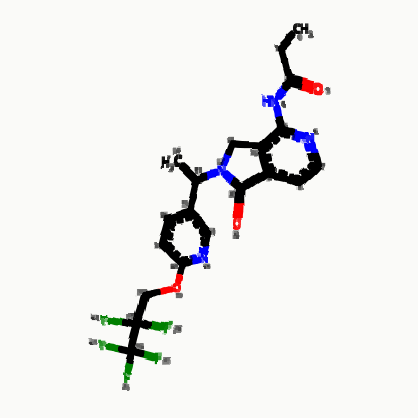 CCC(=O)Nc1nccc2c1CN(C(C)c1ccc(OCC(F)(F)C(F)(F)F)nc1)C2=O